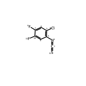 Fc1cc(Cl)c(N=C=S)cc1F